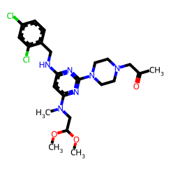 COC(CN(C)c1cc(NCc2ccc(Cl)cc2Cl)nc(N2CCN(CC(C)=O)CC2)n1)OC